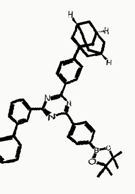 CC1(C)OB(c2ccc(-c3nc(-c4ccc(C56C[C@H]7C[C@@H](C5)C[C@@H](C6)C7)cc4)nc(-c4cccc(-c5ccccc5)c4)n3)cc2)OC1(C)C